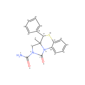 CC12CN(C(N)=O)C(=O)N1c1ccccc1SC2c1ccccc1